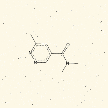 Cc1cc(C(=O)N(C)C)cnn1